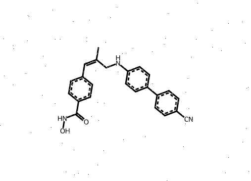 CC(=Cc1ccc(C(=O)NO)cc1)CNc1ccc(-c2ccc(C#N)cc2)cc1